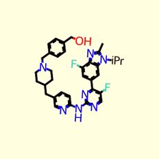 Cc1nc2c(F)cc(-c3nc(Nc4ccc(CC5CCN(Cc6ccc(CO)cc6)CC5)cn4)ncc3F)cc2n1C(C)C